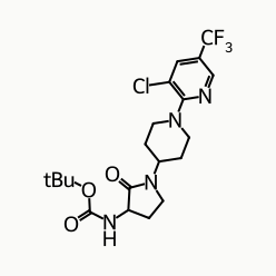 CC(C)(C)OC(=O)NC1CCN(C2CCN(c3ncc(C(F)(F)F)cc3Cl)CC2)C1=O